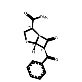 COC(=O)[C@@H]1CS[C@H]2[C@H](C(=O)c3ccccc3)C(=O)N12